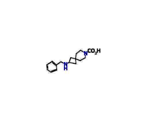 O=C(O)N1CCC2(CC1)CC(NCc1ccccc1)C2